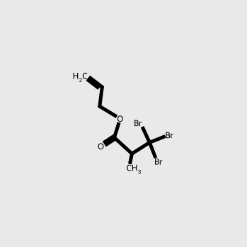 C=CCOC(=O)C(C)C(Br)(Br)Br